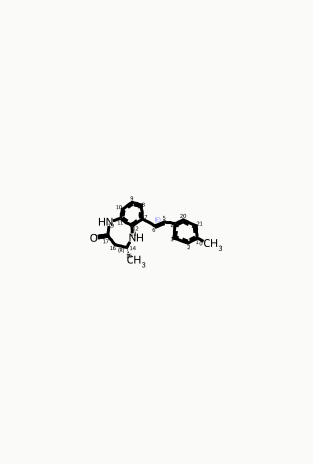 Cc1ccc(/C=C/c2cccc3c2N[C@H](C)CC(=O)N3)cc1